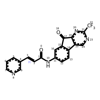 O=C(/C=C/c1cccnc1)Nc1ccc2c(c1)C(=O)c1nc(C(F)(F)F)ncc1-2